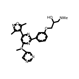 CNCC(O)COc1cccc(-c2nc(-c3c(C)noc3C)cc(N(C)c3cncnc3)n2)c1